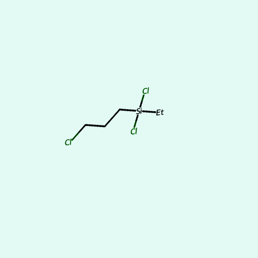 CC[Si](Cl)(Cl)CCCCl